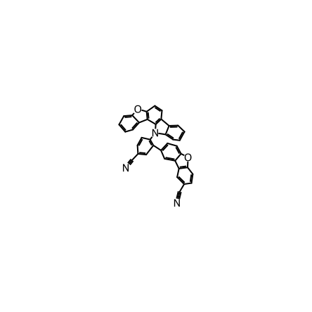 N#Cc1ccc(-n2c3ccccc3c3ccc4oc5ccccc5c4c32)c(-c2ccc3oc4ccc(C#N)cc4c3c2)c1